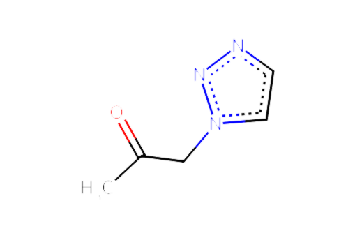 CC(=O)Cn1ccnn1